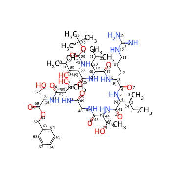 CC[C@H](C)[C@H](NC(=O)[C@@H](CCCNC(=N)N)NC(=O)[C@H](CC(C)C)NC(=O)[C@@H](NC(=O)OC(C)(C)C)[C@H](O)C(C)C)C(=O)N[C@H](C(=O)NCC(=O)N[C@H](C(=O)N[C@@H](CO)C(=O)OCc1ccccc1)[C@@H](C)O)[C@H](C)O